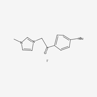 CCCCc1ccc(C(=O)C[n+]2ccn(C)c2)cc1.[I-]